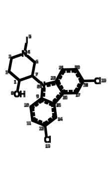 OC1CCN(I)CC1n1c2ccc(Cl)cc2c2cc(Cl)ccc21